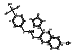 FC(F)(F)c1ccc(CNCc2cc3ccc(Cl)cc3nc2-c2ccsc2)cc1